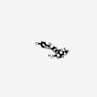 NC1=N[C@@]2(c3nc(NC(=O)c4ccc(Cl)cn4)cs3)CO[C@@H](C(F)(F)F)C[C@H]2CO1